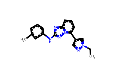 CCn1cc(-c2cccc3nc(Nc4cccc(C)c4)nn23)cn1